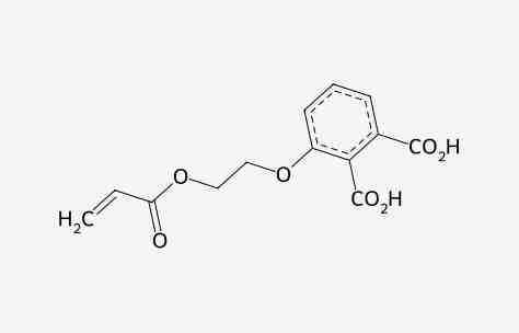 C=CC(=O)OCCOc1cccc(C(=O)O)c1C(=O)O